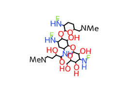 CNCCC(O)C(=O)NC1CC(NF)C(OC2OC(CNC)CCC2NF)C(O)C1OC1OC(CO)C(O)C(NF)C1O